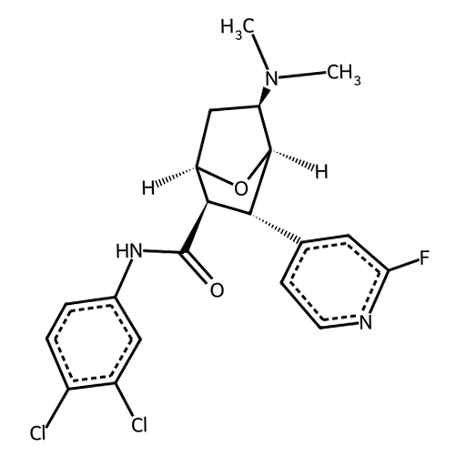 CN(C)[C@@H]1C[C@H]2O[C@@H]1[C@H](c1ccnc(F)c1)[C@H]2C(=O)Nc1ccc(Cl)c(Cl)c1